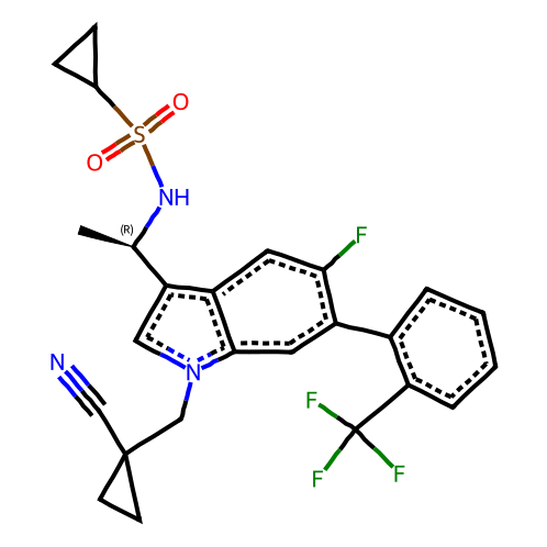 C[C@@H](NS(=O)(=O)C1CC1)c1cn(CC2(C#N)CC2)c2cc(-c3ccccc3C(F)(F)F)c(F)cc12